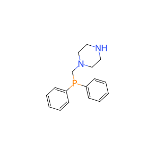 c1ccc(P(CN2CCNCC2)c2ccccc2)cc1